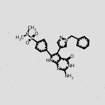 CN(C)S(=O)(=O)c1ccc(-c2[nH]c3nc(N)[nH]c(=O)c3c2-c2cnn(Cc3ccccc3)c2)cc1